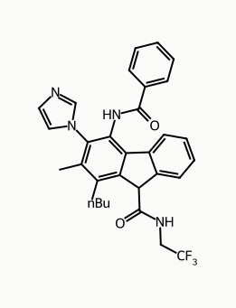 CCCCc1c(C)c(-n2ccnc2)c(NC(=O)c2ccccc2)c2c1C(C(=O)NCC(F)(F)F)c1ccccc1-2